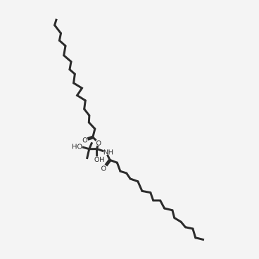 CCCCCCCCCCCCCCCCCC(=O)NC(O)(OC(=O)CCCCCCCCCCCCCCCCC)C(C)(C)O